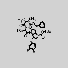 CC(C(=O)NC(C(=O)N1CCC2C1C(Oc1ccc(F)c(F)c1)CN2C(=O)OC(C)(C)C)C(C)(C)C)N(C)C(=O)OCc1ccccc1